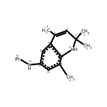 CC1=CC(C)(C)Nc2c(C)cc(NC(C)C)cc21